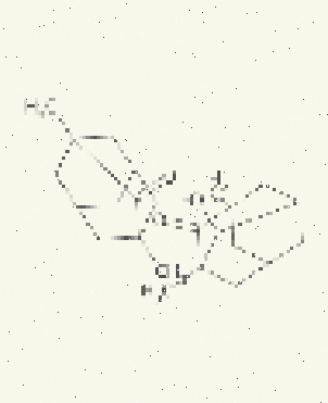 CC12CC3CC(C1)C(OC1C4CC5CC(C)(C4)C(=O)C1(C)C5)C(C)(C3)C2=O